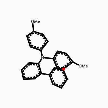 COc1ccc(N(c2ccc(OC)cc2)c2c[c]ccc2-c2cc[c]cc2)cc1